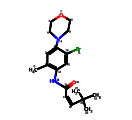 Cc1cc(N2CCOCC2)c(Br)cc1NC(=O)/C=C\C(C)(C)C